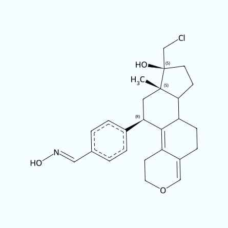 C[C@]12C[C@H](c3ccc(C=NO)cc3)C3=C4CCOC=C4CCC3C1CC[C@@]2(O)CCl